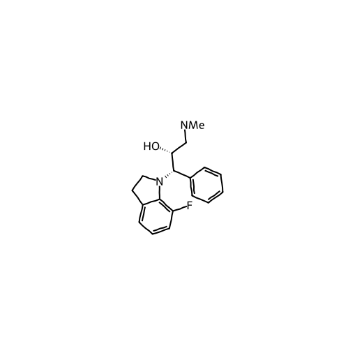 CNC[C@@H](O)[C@H](c1ccccc1)N1CCc2cccc(F)c21